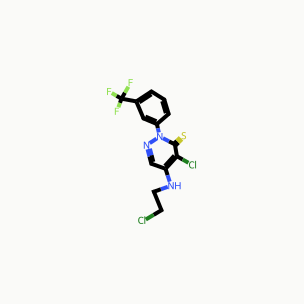 FC(F)(F)c1cccc(-n2ncc(NCCCl)c(Cl)c2=S)c1